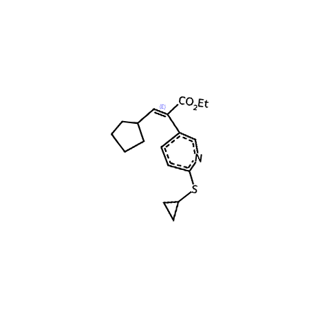 CCOC(=O)/C(=C/C1CCCC1)c1ccc(SC2CC2)nc1